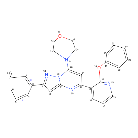 C=C/C=C(\C=C/C)c1cc2nc(-c3cccnc3Oc3ccccc3)cc(N3CCOCC3)n2n1